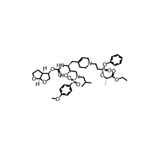 CCOC(=O)[C@H](C)OP(=O)(CCN1CC=C(C[C@H](NC(=O)O[C@H]2CO[C@H]3OCC[C@H]32)[C@H](O)CN(CC(C)C)S(=O)(=O)c2ccc(OC)cc2)CC1)Oc1ccccc1